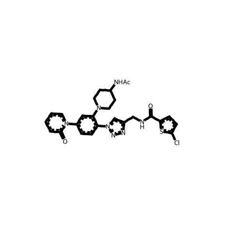 CC(=O)NC1CCN(c2cc(-n3ccccc3=O)ccc2-n2cc(CNC(=O)c3ccc(Cl)s3)nn2)CC1